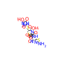 CO/N=C(\C(=O)N[C@@H]1C(=O)N2C(C(=O)O)=C(CSc3nc(=O)c(O)nn3OC)CS(=O)(=O)[C@H]12)c1csc(N)n1